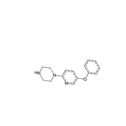 c1ccc(Oc2ccc(N3CCNCC3)nc2)cc1